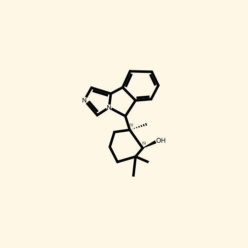 CC1(C)CCC[C@@](C)(C2c3ccccc3-c3cncn32)[C@H]1O